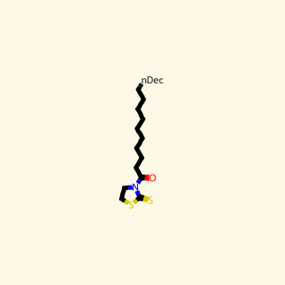 CCCCCCCCCCCCCCCCCCCC(=O)N1CCSC1=S